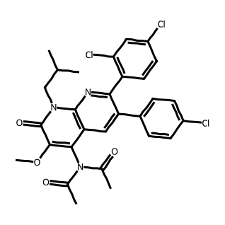 COc1c(N(C(C)=O)C(C)=O)c2cc(-c3ccc(Cl)cc3)c(-c3ccc(Cl)cc3Cl)nc2n(CC(C)C)c1=O